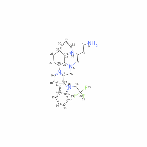 NCCCCN(Cc1nccc2c3ccccc3n(CC(F)(F)F)c12)C1CCCc2cccnc21